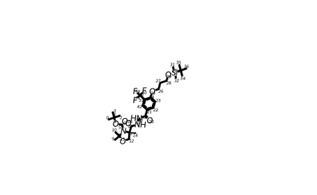 CC(C)(C)OC(=O)N1C(C)(C)OC[C@@]1(C)C(=O)NNC(=O)c1ccc(OCCCO[Si](C)(C)C(C)(C)C)c(C(F)(F)F)c1